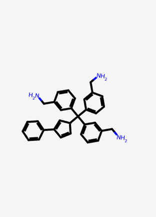 NCc1cccc(C([C]2C=CC(c3ccccc3)=C2)(c2cccc(CN)c2)c2cccc(CN)c2)c1